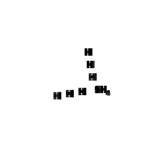 I.I.I.I.I.I.[SiH4]